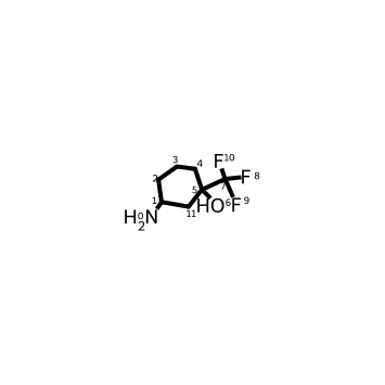 NC1CCCC(O)(C(F)(F)F)C1